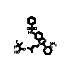 CC(C)=CCn1c(N2CCCC[C@@H]2N)nc2ccc(NS(=O)(=O)c3ccccc3)cc21.O=C(O)C(F)(F)F